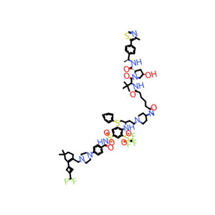 Cc1ncsc1-c1ccc([C@H](C)NC(=O)[C@@H]2C[C@@H](O)CN2C(=O)C(NC(=O)CCCCC(=O)N(C)C2CCN(CCC(CSc3ccccc3)Nc3ccc(S(=O)(=O)NC(=O)c4ccc(N5CCN(CC6=C(C78CC(C(F)F)(C7)C8)CC(C)(C)CC6)CC5)cc4)cc3S(=O)(=O)C(F)(F)F)CC2)C(C)(C)C)cc1